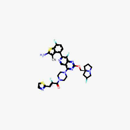 N#Cc1c(N)sc2c(F)ccc(-c3ncc4c(N5CCN(C(=O)/C(F)=C/c6nccs6)CC5)nc(OC[C@@]56CCCN5CC(F)C6)nc4c3F)c12